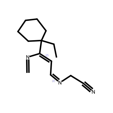 C=N/C(=C\C=N/CC#N)C1(CC)CCCCC1